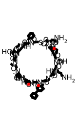 CC[C@@H]1NC(=O)[C@H](CC(=O)O)NC(=O)[C@H](C(C)C)NC(=O)[C@H](Cc2ccccc2)NC(=O)CSC[C@@H](C(=O)NCC(N)=O)NC(=O)[C@@H]2CCCN2C(=O)[C@H](CO)NC(=O)[C@H](CCCCN)NC(=O)[C@H](C)N(C)C(=O)[C@H](Cc2ccc(-c3ccccc3)cc2)NC(=O)[C@H](C)N2OC[C@H](NC(=O)[C@H]([C@@H](C)O)NC1=O)C2=O